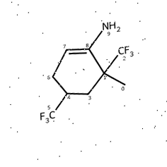 CC1(C(F)(F)F)CC(C(F)(F)F)CC=C1N